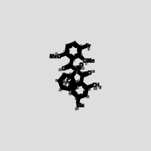 COc1ccc(Br)c(OC)c1C(=O)P(=O)(C(=O)c1c(C)cc(C(C)(C)C)cc1C)c1ccccc1